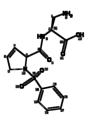 NC[C@H](NC(=O)C1C=CCN1S(=O)(=O)c1ccccc1)C(=O)O